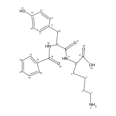 NCCCCC(NC(=O)C(Cc1ccc(O)cc1)NC(=O)c1ccccc1)C(=O)O